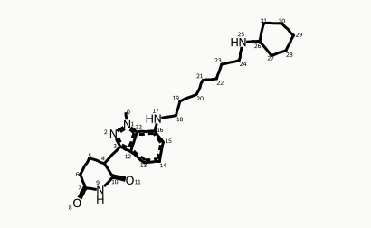 Cn1nc(C2CCC(=O)NC2=O)c2cccc(NCCCCCCCNC3CCCCC3)c21